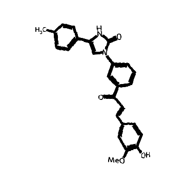 COc1cc(C=CC(=O)c2cccc(-n3cc(-c4ccc(C)cc4)[nH]c3=O)c2)ccc1O